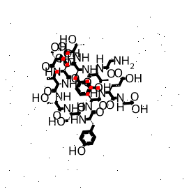 CC(C)C[C@H](NC(=O)[C@H](Cc1ccc(O)cc1)NC(=O)[C@H](CO)NC(=O)[C@H](CO)NC(=O)[C@@H](NC(=O)[C@H](CC(=O)O)NC(=O)[C@H](CO)NC(=O)[C@@H](NC(=O)[C@H](Cc1ccccc1)NC(=O)[C@@H](NC(=O)CN)[C@@H](C)O)[C@@H](C)O)C(C)C)C(=O)N[C@@H](CCC(=O)O)C(=O)NCC(=O)O